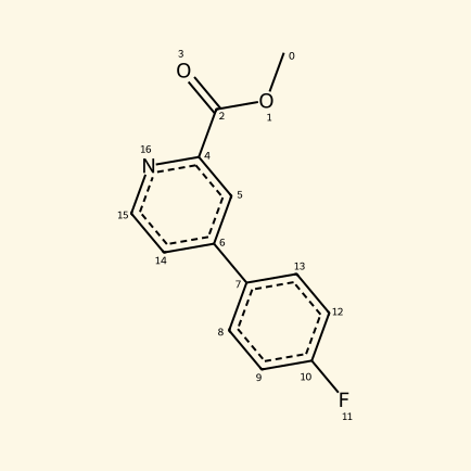 COC(=O)c1cc(-c2ccc(F)cc2)ccn1